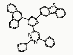 c1ccc(-c2cc(-c3cc(-c4ccc5sc6ccccc6c5c4)cc(-c4cc5ccccc5c5ccccc45)c3)nc(-c3ccccc3)n2)cc1